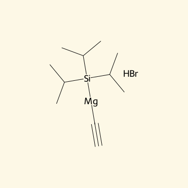 Br.C#[C][Mg][Si](C(C)C)(C(C)C)C(C)C